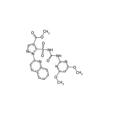 COC(=O)c1cnn(-c2ccc3ccccc3n2)c1S(=O)(=O)NC(=O)Nc1nc(OC)cc(OC)n1